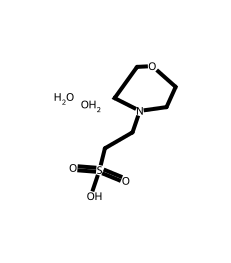 O.O.O=S(=O)(O)CCN1CCOCC1